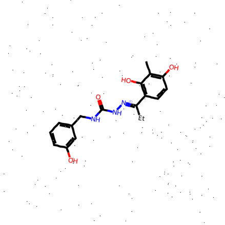 CC/C(=N\NC(=O)NCc1cccc(O)c1)c1ccc(O)c(C)c1O